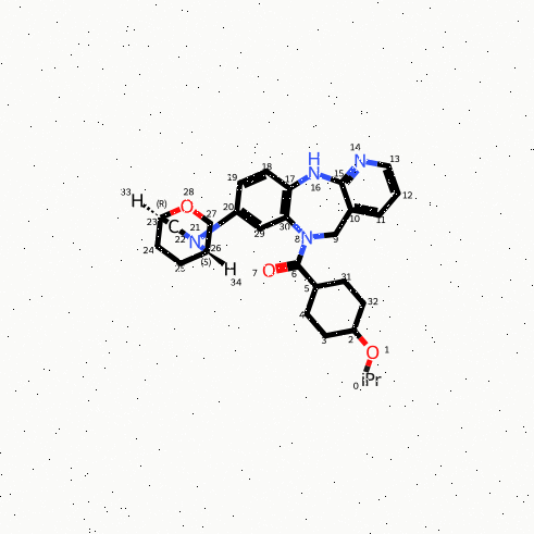 CC(C)OC1CCC(C(=O)N2Cc3cccnc3Nc3ccc(N4C[C@H]5CC[C@H]4CO5)cc32)CC1